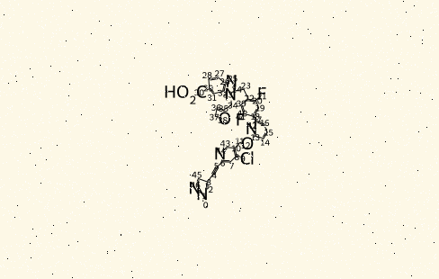 Cn1cc(C#Cc2cc(Cl)c(COc3cccc(-c4cc(F)c(Cc5nc6ccc(C(=O)O)cc6n5CC5CCO5)cc4F)n3)cn2)cn1